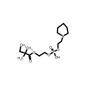 CCC(C)(C)C(=O)OCCOP(=O)(O)OCCN1CCCCC1